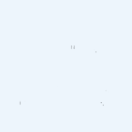 COc1ccc(Cn2cnc3ccccc32)cc1-c1cccc([N+](=O)[O-])c1